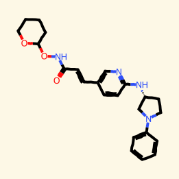 O=C(C=Cc1ccc(N[C@@H]2CCN(c3ccccc3)C2)nc1)NOC1CCCCO1